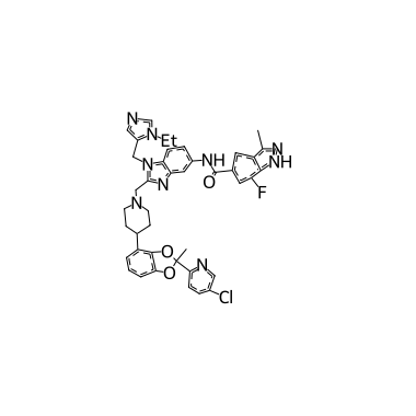 CCn1cncc1Cn1c(CN2CCC(c3cccc4c3OC(C)(c3ccc(Cl)cn3)O4)CC2)nc2cc(NC(=O)c3cc(F)c4[nH]nc(C)c4c3)ccc21